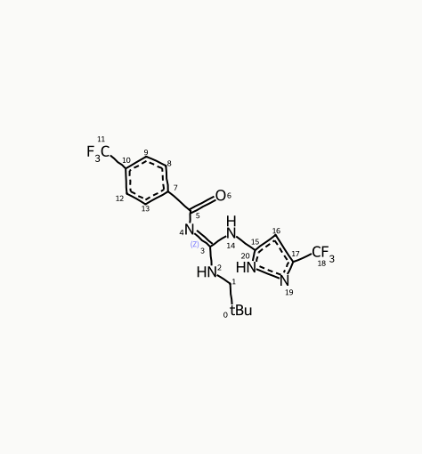 CC(C)(C)CN/C(=N/C(=O)c1ccc(C(F)(F)F)cc1)Nc1cc(C(F)(F)F)n[nH]1